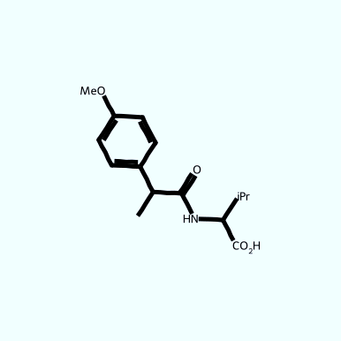 COc1ccc(C(C)C(=O)NC(C(=O)O)C(C)C)cc1